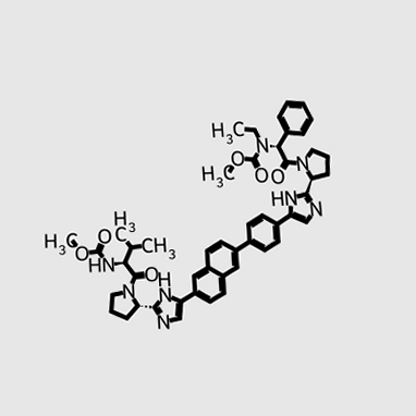 CCN(C(=O)OC)[C@@H](C(=O)N1CCC[C@H]1c1ncc(-c2ccc(-c3ccc4cc(-c5cnc([C@@H]6CCCN6C(=O)[C@@H](NC(=O)OC)C(C)C)[nH]5)ccc4c3)cc2)[nH]1)c1ccccc1